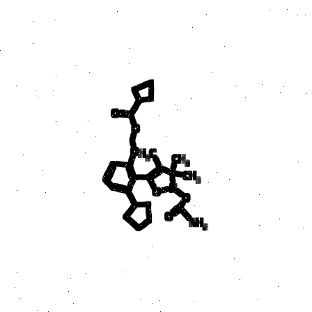 CC1=C(c2c(OCOC(=O)C3CCC3)cccc2C2CCCC2)ON(OC(N)=O)C1(C)C